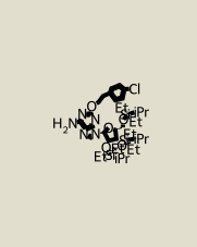 CC[Si](CC)(OC[C@H]1O[C@@H](n2cnc3c(N)nc(OCCc4ccc(Cl)cc4)nc32)[C@H](O[Si](CC)(CC)C(C)C)[C@@H]1O[Si](CC)(CC)C(C)C)C(C)C